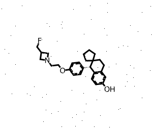 Oc1ccc2c(c1)CCC1(CCCC1)[C@H]2c1ccc(OCCN2CC(CF)C2)cc1